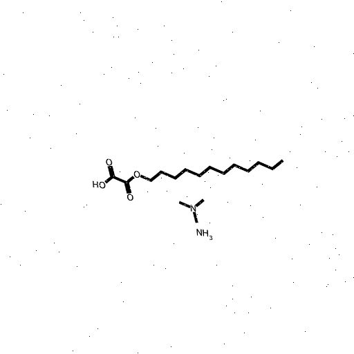 CCCCCCCCCCCCOC(=O)C(=O)O.CN(C)C.N